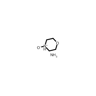 N.[O-][NH+]1CCOCC1